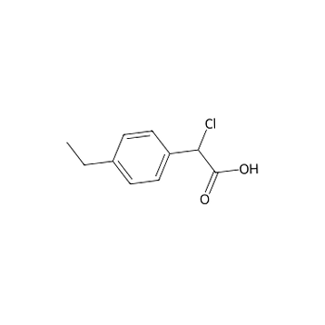 CCc1ccc(C(Cl)C(=O)O)cc1